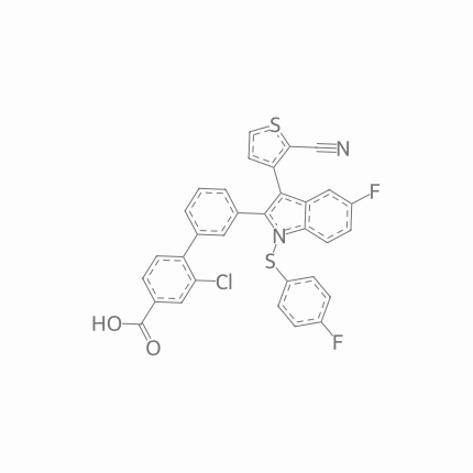 N#Cc1sccc1-c1c(-c2cccc(-c3ccc(C(=O)O)cc3Cl)c2)n(Sc2ccc(F)cc2)c2ccc(F)cc12